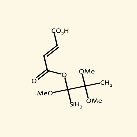 COC(C)(OC)C([SiH3])(OC)OC(=O)/C=C/C(=O)O